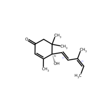 C/C=C(C)\C=C\[C@@]1(O)C(C)=CC(=O)CC1(C)C